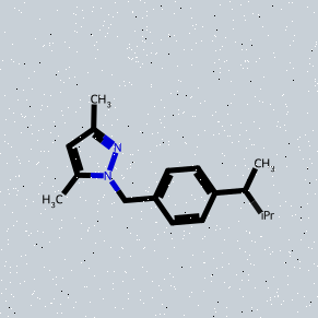 Cc1cc(C)n(Cc2ccc(C(C)C(C)C)cc2)n1